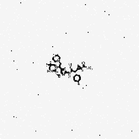 CC1CCC([C@H](C(=C=O)Nc2ncc(C(CN3CCOCC3)N3CC(F)(F)CNC3=C=O)s2)C2CC2(F)C(N)=O)CC1